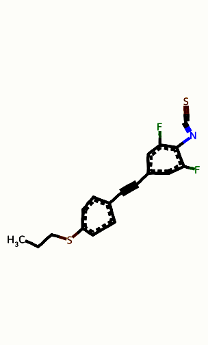 CCCSc1ccc(C#Cc2cc(F)c(N=C=S)c(F)c2)cc1